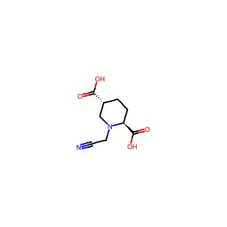 N#CCN1C[C@H](C(=O)O)CC[C@H]1C(=O)O